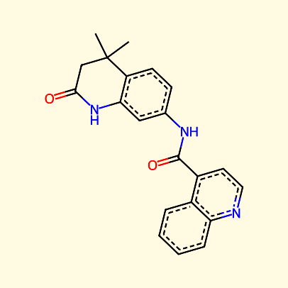 CC1(C)CC(=O)Nc2cc(NC(=O)c3ccnc4ccccc34)ccc21